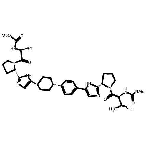 CNC(=O)N[C@H](C(=O)N1CCC[C@H]1c1ncc(-c2ccc([C@H]3CC[C@H](c4cnc([C@@H]5CCCN5C(=O)[C@@H](NC(=O)OC)C(C)C)[nH]4)CC3)cc2)[nH]1)C(C)C(F)(F)F